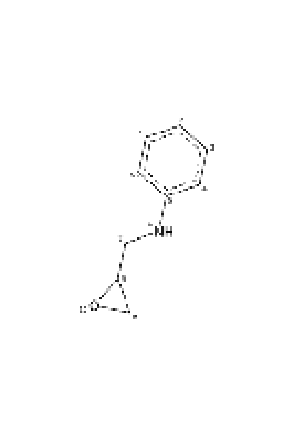 [c]1ccccc1NCC1CO1